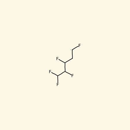 F[CH]CC(F)C(F)C(F)F